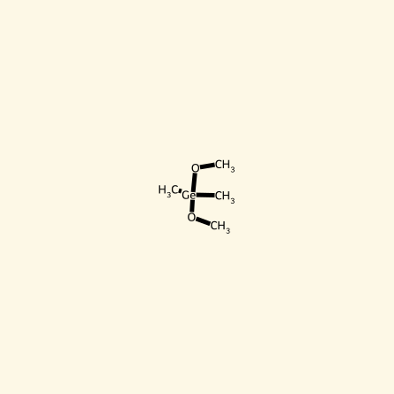 C[O][Ge]([CH3])([CH3])[O]C